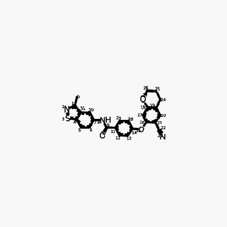 Cc1nsc2ccc(NC(=O)c3ccc(Oc4cc5c(cc4C#N)CCCO5)cc3)cc12